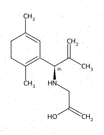 C=C(O)CN[C@H](C(=C)C)C1=C(C)CCC(C)=C1